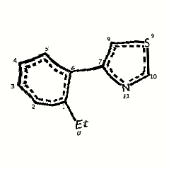 CCc1ccccc1-c1cscn1